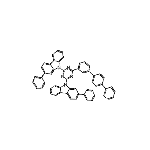 c1ccc(-c2ccc(-c3cccc(-c4nc(-n5c6ccccc6c6ccc(-c7ccccc7)cc65)nc(-n5c6ccccc6c6ccc(-c7ccccc7)cc65)n4)c3)cc2)cc1